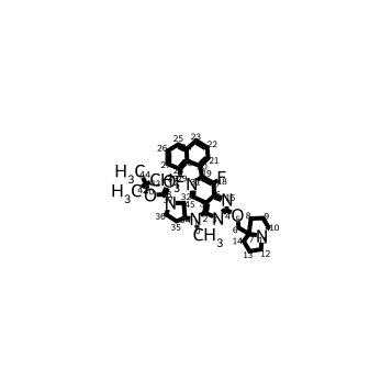 CN(c1nc(OCC23CCCN2CCC3)nc2c(F)c(-c3cccc4cccc(F)c34)ncc12)C1CCN(C(=O)OC(C)(C)C)C1